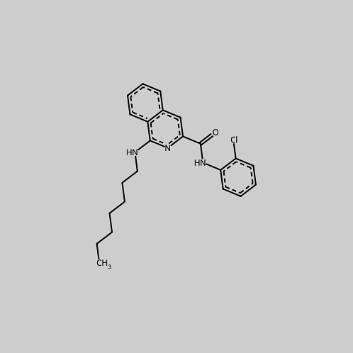 CCCCCCCNc1nc(C(=O)Nc2ccccc2Cl)cc2ccccc12